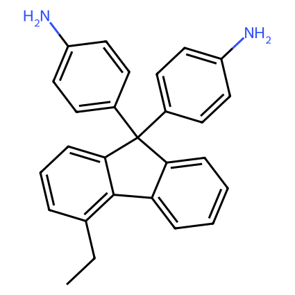 CCc1cccc2c1-c1ccccc1C2(c1ccc(N)cc1)c1ccc(N)cc1